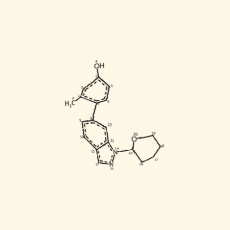 Cc1cc(O)ccc1-c1ccc2cnn(C3CCCCO3)c2c1